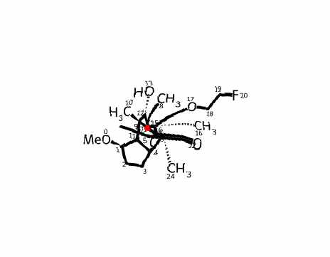 CO[C@@H]1CCC23CC[C@@H](C)[C@](C)(C12)[C@H](O)C[C@@](C)(OCCF)C(=O)[C@@H]3C